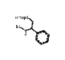 CCCCCCCCC(NCC)c1ccccc1